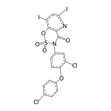 O=C1c2nc(I)cc(I)c2OS(=O)(=O)N1c1ccc(Oc2ccc(Cl)cc2)c(Cl)c1